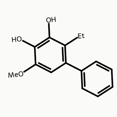 CCc1c(-c2ccccc2)cc(OC)c(O)c1O